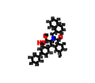 Cc1ccc(C(=O)N(Cc2cccc3ccccc23)[C@@H](Cc2ccc(-c3ccccc3)cc2)C(=O)O)cc1